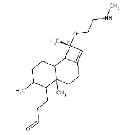 CNCCO[C@]1(C)C=C2CCC3(C)C(CCC=O)C(C)CCC3C21